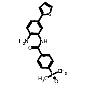 CP(C)(=O)c1ccc(C(=O)Nc2cc(-c3cccs3)ccc2N)cc1